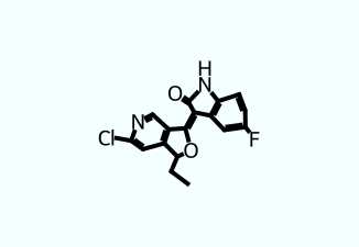 CCC1O/C(=C2/C(=O)Nc3ccc(F)cc32)c2cnc(Cl)cc21